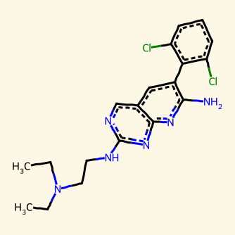 CCN(CC)CCNc1ncc2cc(-c3c(Cl)cccc3Cl)c(N)nc2n1